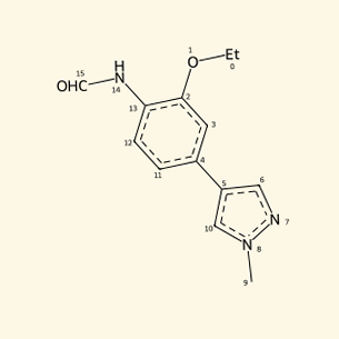 CCOc1cc(-c2cnn(C)c2)ccc1NC=O